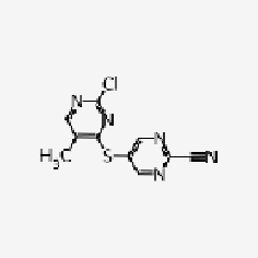 Cc1cnc(Cl)nc1Sc1cnc(C#N)nc1